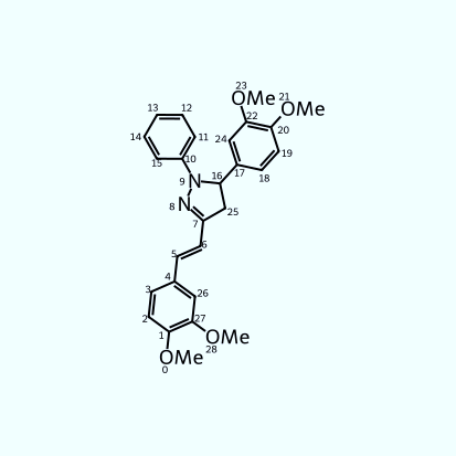 COc1ccc(C=CC2=NN(c3ccccc3)C(c3ccc(OC)c(OC)c3)C2)cc1OC